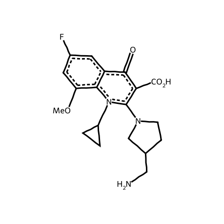 COc1cc(F)cc2c(=O)c(C(=O)O)c(N3CCC(CN)C3)n(C3CC3)c12